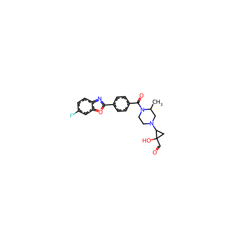 CC1CN(C2CC2(O)C=O)CCN1C(=O)c1ccc(-c2nc3ccc(F)cc3o2)cc1